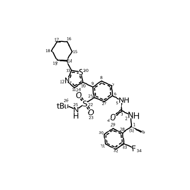 C[C@H](NC(=O)Nc1ccc(-c2cnc(C3CCCCC3)s2)c(S(=O)(=O)NC(C)(C)C)c1)c1ccccc1F